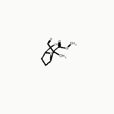 COC(=O)C1(C)C2CCC(O2)C1(C)C=O